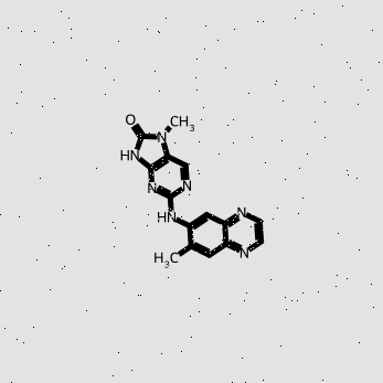 Cc1cc2nccnc2cc1Nc1ncc2c(n1)[nH]c(=O)n2C